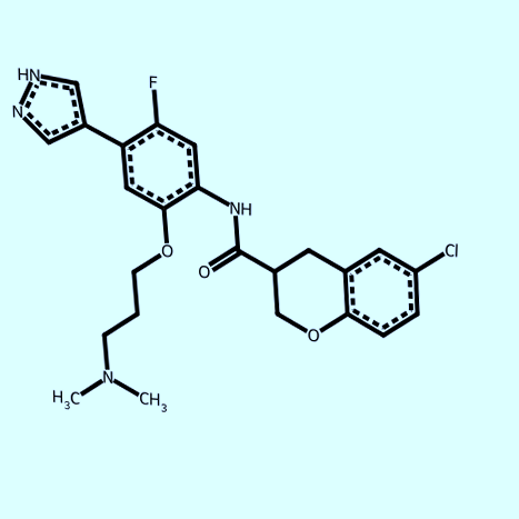 CN(C)CCCOc1cc(-c2cn[nH]c2)c(F)cc1NC(=O)C1COc2ccc(Cl)cc2C1